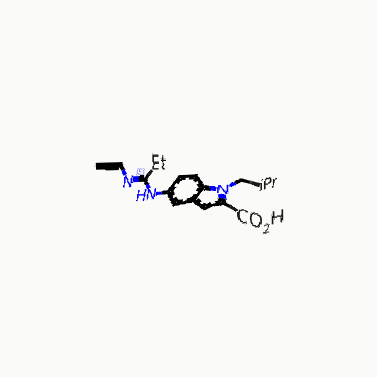 C=C/N=C(\CC)Nc1ccc2c(c1)cc(C(=O)O)n2CC(C)C